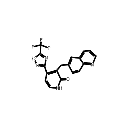 O=c1[nH]ccc(-c2noc(C(F)(F)F)n2)c1Cc1ccc2ncccc2c1